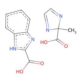 CC1(C(=O)O)N=CC=N1.O=C(O)c1nc2ccccc2[nH]1